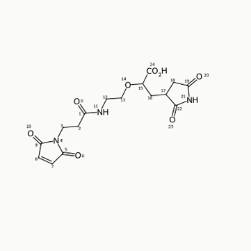 O=C(CCN1C(=O)C=CC1=O)NCCOC(CC1CC(=O)NC1=O)C(=O)O